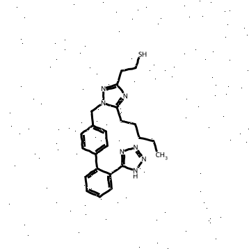 CCCCCc1nc(CCS)nn1Cc1ccc(-c2ccccc2-c2nnn[nH]2)cc1